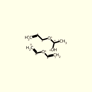 C=CCOC(C)O.C=COC=C